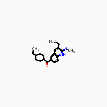 CCc1cc2cc(C(=O)C3CCC(CC)CC3)ccc2[nH]/c1=N\C